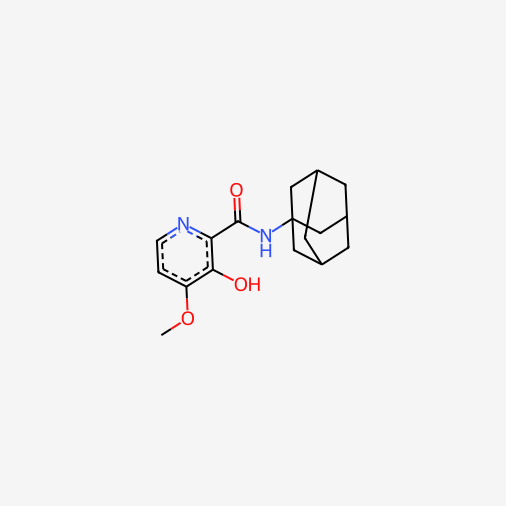 COc1ccnc(C(=O)NC23CC4CC(CC(C4)C2)C3)c1O